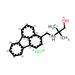 CC(C)(CO)[AsH]Cc1ccc2c3c(cccc13)-c1ccccc1-2.Cl